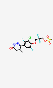 CC1CC(=O)NN=C1c1cc(F)c(OCC(F)(F)COS(C)(=O)=O)c(Cl)c1F